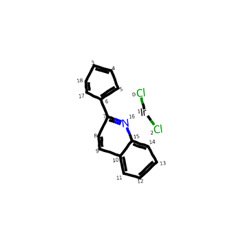 [Cl][Ir][Cl].c1ccc(-c2ccc3ccccc3n2)cc1